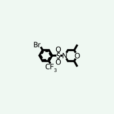 CC1CN(S(=O)(=O)c2cc(Br)ccc2C(F)(F)F)CC(C)O1